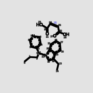 CCCN(c1ccncc1)n1cc(CC)c2ccccc21.O=C(O)/C=C\C(=O)O